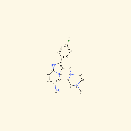 CC(=O)N1CCN(CC2=C(c3ccc(Cl)cc3)NC3C=CC(N)=CN23)CC1